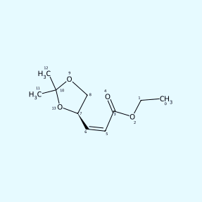 CCOC(=O)/C=C\[C@@H]1COC(C)(C)O1